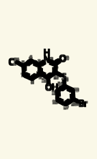 O=c1[nH]c2cc(Cl)ccc2c(O)c1Sc1cccc(Br)c1